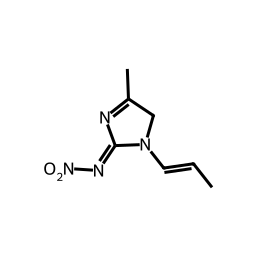 CC=CN1CC(C)=NC1=N[N+](=O)[O-]